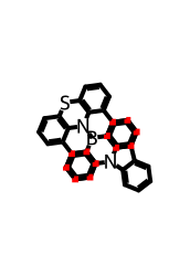 c1ccc(-c2cccc3c2N(B2c4ccccc4-n4c5ccccc5c5cccc2c54)c2c(cccc2-c2ccccc2)S3)cc1